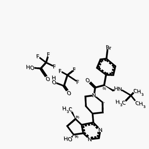 C[C@@H]1C[C@@H](O)c2ncnc(C3C[CH]N(C(=O)[C@H](CNC(C)(C)C)c4ccc(Br)cc4)CC3)c21.O=C(O)C(F)(F)F.O=C(O)C(F)(F)F